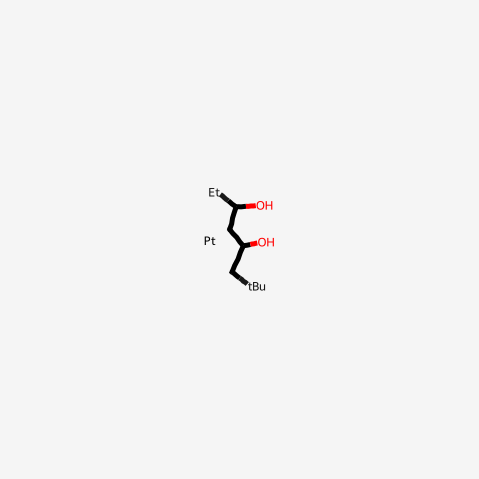 CCC(O)CC(O)CC(C)(C)C.[Pt]